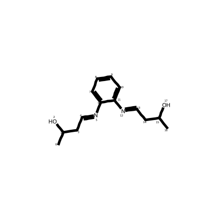 CC(O)CC=Nc1ccccc1N=CCC(C)O